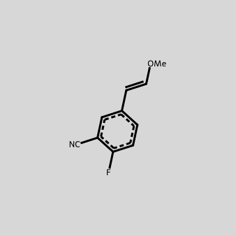 CO/C=C/c1ccc(F)c(C#N)c1